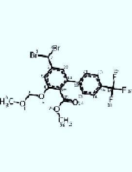 COCOc1cc(C(Br)Br)cc(-c2ccc(C(F)(F)F)cc2)c1C(=O)OC